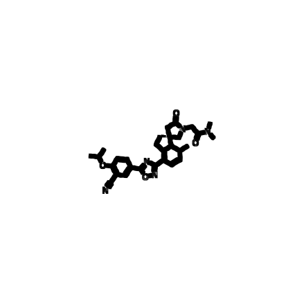 CC(C)Oc1ccc(-c2nc(C3=C4CC[C@@]5(CC(=O)N(CC(=O)N(C)C)C5)C4C(C)C=C3)no2)cc1C#N